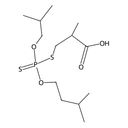 CC(C)CCOP(=S)(OCC(C)C)SCC(C)C(=O)O